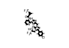 O=C(Nc1cccnc1-n1cnc(Cn2nc(-c3ccc(Cl)cc3)n(C[C@H](O)C(F)(F)F)c2=O)n1)C1CC1C(F)(F)F